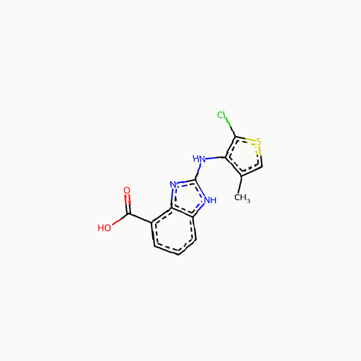 Cc1csc(Cl)c1Nc1nc2c(C(=O)O)cccc2[nH]1